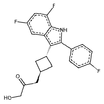 O=C(CO)C[C@H]1C[C@H](c2c(-c3ccc(F)cc3)[nH]c3c(F)cc(F)cc32)C1